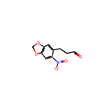 O=CCCc1cc2c(cc1[N+](=O)[O-])OCO2